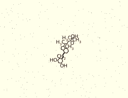 C=C1/C(=C\C=C2/CCC[C@@]3(C)C2CCC3[C@@H](C)CCC(=O)C(C)(C)O)C[C@@H](O)C[C@@H]1O